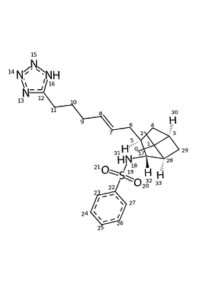 CC1(C)[C@H]2C[C@H](CC=CCCCc3nnn[nH]3)[C@@H](NS(=O)(=O)c3ccccc3)[C@@H]1C2